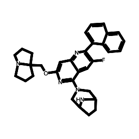 Fc1cc2c(N3CC4CCC(C3)N4)nc(OCC34CCCN3CCC4)cc2nc1-c1cccc2ccccc12